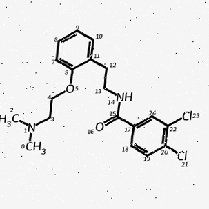 CN(C)CCOc1ccccc1CCNC(=O)c1ccc(Cl)c(Cl)c1